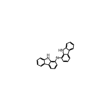 c1ccc2c(c1)[nH]c1c([N]c3cccc4c3[nH]c3ccccc34)cccc12